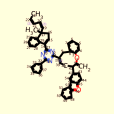 C=C1Oc2ccccc2C/C(c2nc(C3=CCC(C)(/C=C\C=C/C)c4ccccc43)nc(-c3ccccc3)n2)=C\CC1c1ccc2oc3ccccc3c2c1